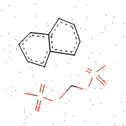 O=S(=O)(O)OCOS(=O)(=O)O.[NaH].c1ccc2ccccc2c1